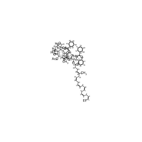 CC/C=C\C/C=C\C/C=C\C/C=C\C/C=C\C/C(C)=C/CCC(=O)O[C@@H](C(=O)O[C@H]1C[C@@]2(O)[C@@H](OC(=O)c3ccccc3)[C@@H]3[C@]4(OC(C)=O)CO[C@@H]4C[C@H](O)[C@@]3(C)C(=O)[C@H](OC(C)=O)C(=C1C)C2(C)C)[C@@H](NC(=O)c1ccccc1)c1ccccc1